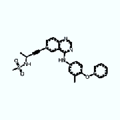 Cc1cc(Nc2ncnc3ccc(C#CC(C)NS(C)(=O)=O)cc23)ccc1Oc1ccccc1